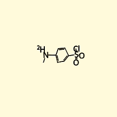 [2H]N(C)c1ccc(S(=O)(=O)Cl)cc1